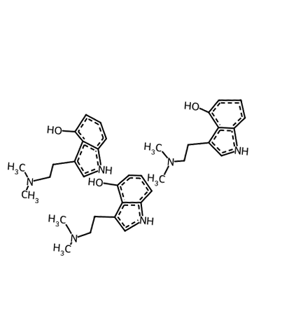 CN(C)CCc1c[nH]c2cccc(O)c12.CN(C)CCc1c[nH]c2cccc(O)c12.CN(C)CCc1c[nH]c2cccc(O)c12